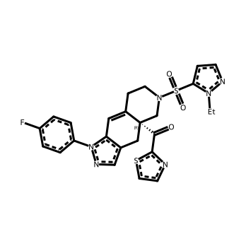 CCn1nccc1S(=O)(=O)N1CCC2=Cc3c(cnn3-c3ccc(F)cc3)C[C@]2(C(=O)c2nccs2)C1